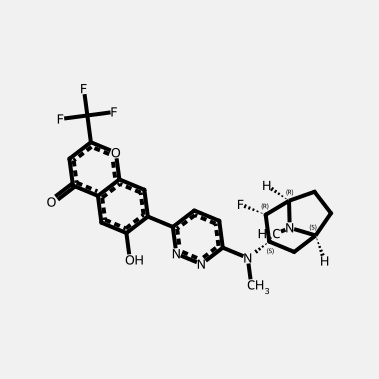 CN(c1ccc(-c2cc3oc(C(F)(F)F)cc(=O)c3cc2O)nn1)[C@H]1C[C@@H]2CC[C@H]([C@H]1F)N2C